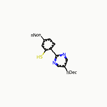 CCCCCCCCCCc1cnc(-c2ccc(CCCCCCCCC)cc2S)nc1